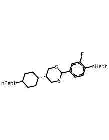 CCCCCCCc1ccc(C2SCC([C@H]3CC[C@H](CCCCC)CC3)CS2)cc1F